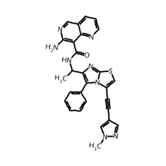 CC(NC(=O)c1c(N)ncc2cccnc12)c1nc2scc(C#Cc3cnn(C)c3)n2c1-c1ccccc1